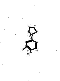 Cc1cc(N2CCCC2)ccc1F